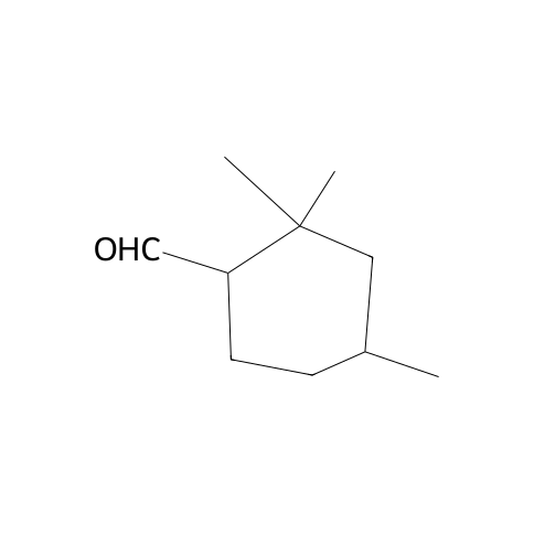 CC1CCC(C=O)C(C)(C)C1